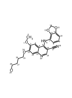 COc1cc2c(Nc3cccc4c3OCO4)c(C#N)cnc2cc1OCCCCCl